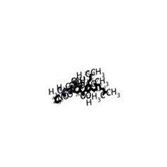 CC(C)=CCCC1(C)C=Cc2c(O)c3c(c(CC=C(C)C)c2O1)O[C@H]1C(=CC2CC1C(C)(C)OC(C)(C/C=C(/C)C(=O)N1CCCCC1)C2=O)C3=O